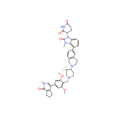 COc1cc(-c2cn(C)c(=O)c3c2CCC3)cc(OC)c1CN1CCC(N2CCc3cc(-c4cccc5c4n(C)c(=O)n5C4CCC(=O)NC4=O)ccc3C2)C(F)(F)C1